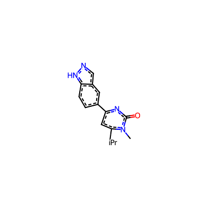 CC(C)c1cc(-c2ccc3[nH]ncc3c2)nc(=O)n1C